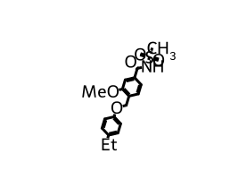 CCc1ccc(OCc2ccc(C(=O)NS(C)(=O)=O)cc2OC)cc1